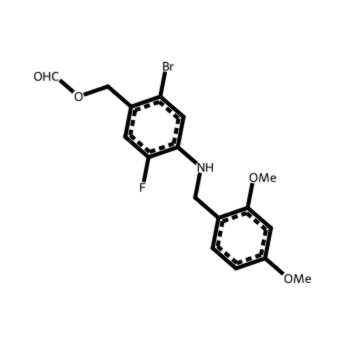 COc1ccc(CNc2cc(Br)c(COC=O)cc2F)c(OC)c1